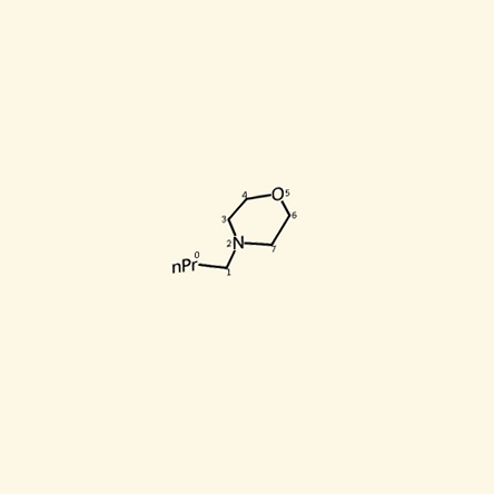 [CH2]CCCN1CCOCC1